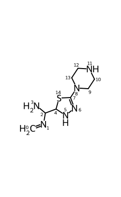 C=NC(N)C1NN=C(N2CCNCC2)S1